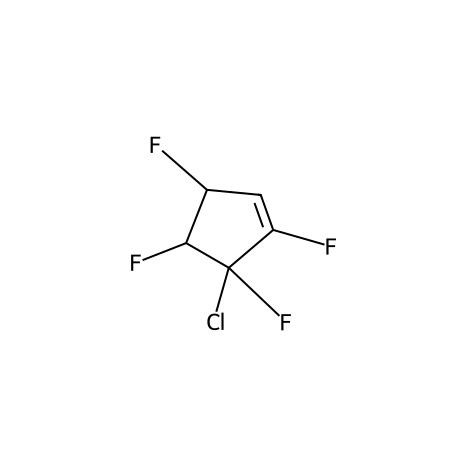 FC1=CC(F)C(F)C1(F)Cl